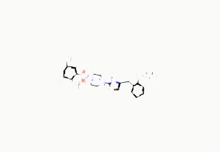 COc1ccccc1Cc1csc(N2CCN(S(=O)(=O)c3c(F)c(Br)cc(F)c3Br)CC2)n1